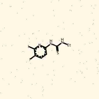 CCNC(=S)Nc1ccc(I)c(I)n1